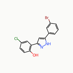 Oc1ccc(Cl)cc1-c1cc(-c2cccc(Br)c2)[nH]n1